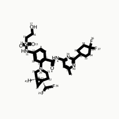 Cc1cc(NC(=O)c2ccc(NS(=O)(=O)CCO)cc2N2CC[C@@]3(C(F)F)C[C@H]3C2)nc(C2CCC(F)(F)CC2)n1